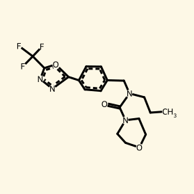 CCCN(Cc1ccc(-c2nnc(C(F)(F)F)o2)cc1)C(=O)N1CCOCC1